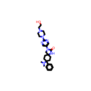 CN(C)C1(c2ccccc2)CCC2(CC1)CN(c1cnc(N3CCN(CCO)CC3)nc1)C(=O)N2